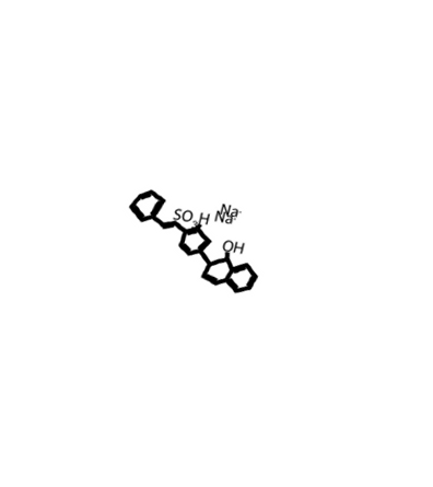 O=S(=O)(O)c1cc(C2C=Cc3ccccc3C2O)ccc1C=Cc1ccccc1.[Na].[Na]